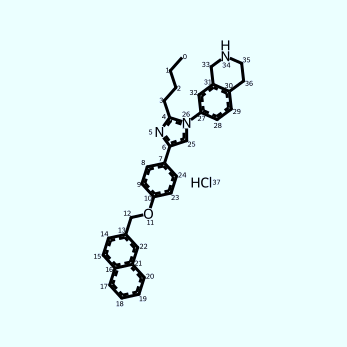 CCCCc1nc(-c2ccc(OCc3ccc4ccccc4c3)cc2)cn1-c1ccc2c(c1)CNCC2.Cl